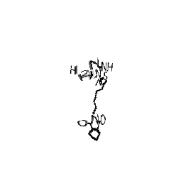 N=C(N)Nc1nc(CCCCCCN2C(=O)c3ccccc3C2=O)cs1